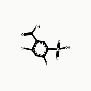 O=C(O)c1cc(S(=O)(=O)O)c(F)cc1Cl